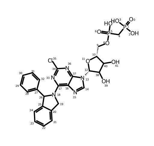 O=P(O)(O)CP(=O)(O)OC[C@H]1O[C@@H](n2cnc3c(N4Cc5ccccc5C4c4ccccc4)nc(Cl)nc32)C(O)C1O